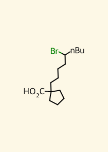 CCCCC(Br)CCCCC1(C(=O)O)CCCC1